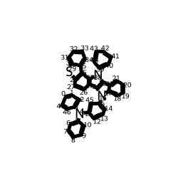 c1ccc(N(c2ccccc2)c2cccc(-n3c4ccccc4c4c3c3ccc5sc6ccccc6c5c3n4-c3ccccc3)c2)cc1